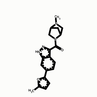 Cc1ccc(-c2ccc3c(C(=O)N4CC5CC4CN5C)n[nH]c3c2)o1